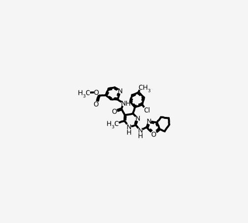 COC(=O)c1ccnc(NC(=O)C2=C(C)NC(Nc3nc4c(o3)CCCC4)=NC2c2ccc(C)cc2Cl)c1